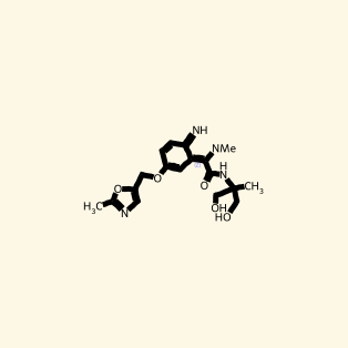 CN/C(C(=O)NC(C)(CO)CO)=C1/C=C(OCc2cnc(C)o2)C=CC1=N